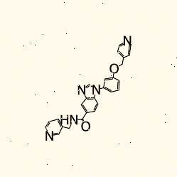 O=C(NCc1cccnc1)c1ccc2c(c1)ncn2-c1cccc(OCc2ccncc2)c1